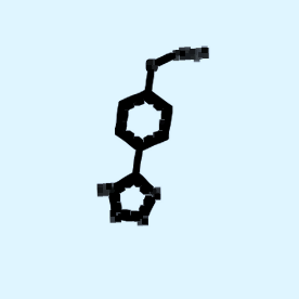 CCCCCCCOc1ccc(-c2nnn[nH]2)cc1